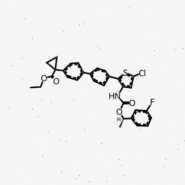 CCOC(=O)C1(c2ccc(-c3ccc(-c4sc(Cl)cc4NC(=O)O[C@H](C)c4cccc(F)c4)cc3)cc2)CC1